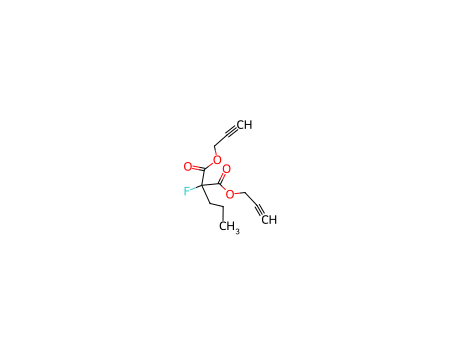 C#CCOC(=O)C(F)(CCC)C(=O)OCC#C